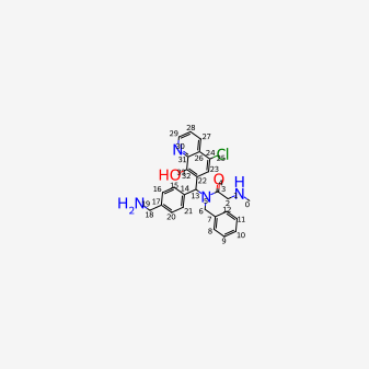 CNCC(=O)N(Cc1ccccc1)C(c1ccc(CN)cc1)c1cc(Cl)c2cccnc2c1O